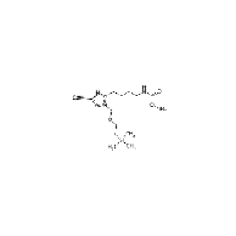 C#Cc1cn(COCC[Si](C)(C)C)c(CCCCNC(=O)OC(C)(C)C)n1